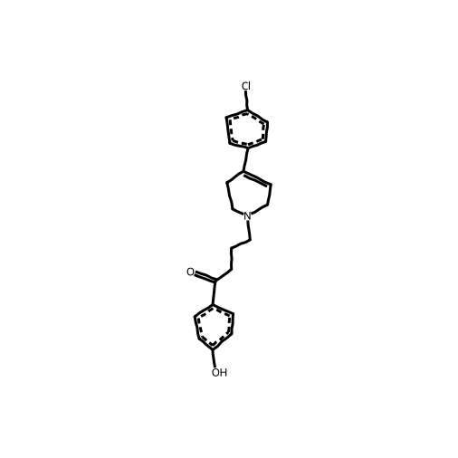 O=C(CCCN1CC=C(c2ccc(Cl)cc2)CC1)c1ccc(O)cc1